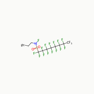 CC(C)[CH]CN(F)S(=O)(=O)C(F)(F)C(F)(F)C(F)(F)C(F)(F)C(F)(F)C(F)(F)C(F)(F)C(F)(F)F